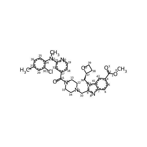 COC(=O)c1ccc2nc(CN3CCN(C(=O)c4ccnc(N(C)c5ccc(C)cc5Cl)c4)CC3)n(C[C@@H]3CCO3)c2c1